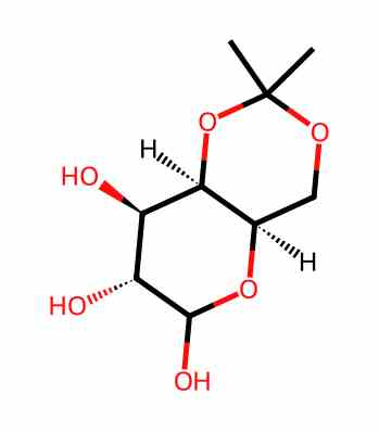 CC1(C)OC[C@H]2OC(O)[C@H](O)[C@@H](O)[C@H]2O1